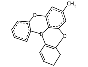 Cc1cc2c3c(c1)Oc1ccccc1B3C1=C(CCC=C1)O2